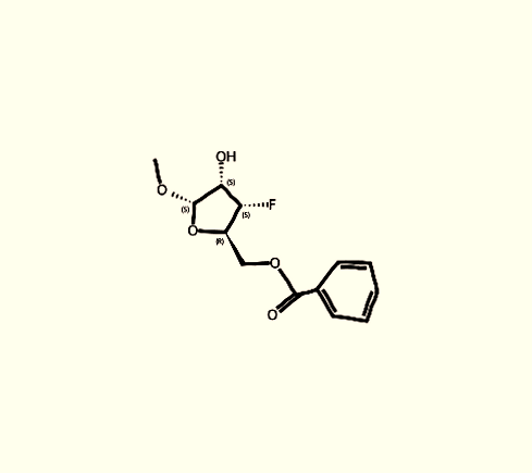 CO[C@H]1O[C@H](COC(=O)c2ccccc2)[C@@H](F)[C@H]1O